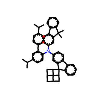 CC(C)c1ccc(-c2cc(C(C)C)ccc2N(c2ccc3c(c2)C(C)(C)c2ccccc2-3)c2ccc3c(c2)C2(c4ccccc4-3)C3CC4CC5CC2C453)cc1